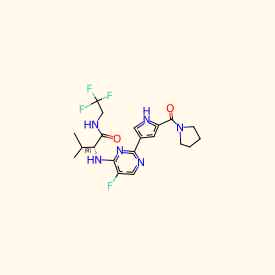 CC(C)[C@@H](Nc1nc(-c2c[nH]c(C(=O)N3CCCC3)c2)ncc1F)C(=O)NCC(F)(F)F